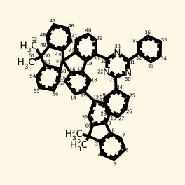 CC1(C)c2ccccc2-c2ccc(-c3ccc4c(c3)-c3c(-c5nc(-c6ccccc6)nc(-c6ccccc6)n5)cccc3C43c4ccccc4C(C)(C)c4ccccc43)cc21